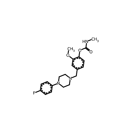 CNC(=O)Oc1ccc(CN2CCN(c3ccc(F)cc3)CC2)cc1OC